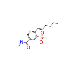 C=NC(=O)c1ccc(C=CCCCC)c(S(C)(=O)=O)c1